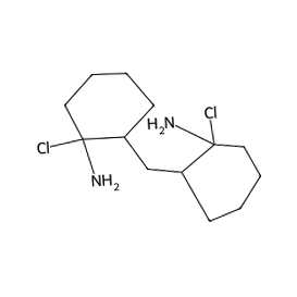 NC1(Cl)CCCCC1CC1CCCCC1(N)Cl